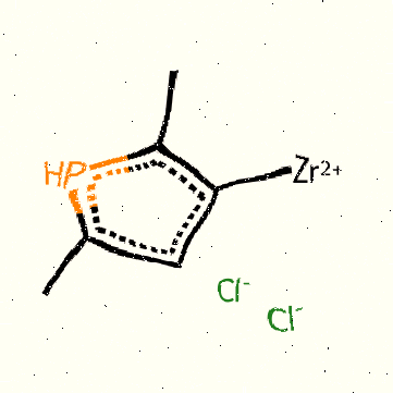 Cc1c[c]([Zr+2])c(C)[pH]1.[Cl-].[Cl-]